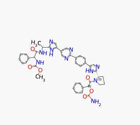 COC(=O)NC(C(=O)NC(C)c1ncc(-c2cnc(-c3ccc(-c4cnc([C@@H]5CCCN5C(=O)[C@H](OC(N)=O)c5ccccc5)[nH]4)cc3)nc2)[nH]1)c1ccccc1